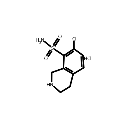 Cl.NS(=O)(=O)c1c(Cl)ccc2c1CNCC2